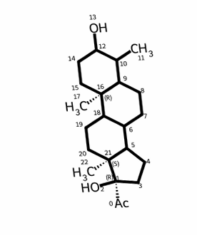 CC(=O)[C@@]1(O)CCC2C3CCC4C(C)C(O)CC[C@]4(C)C3CC[C@@]21C